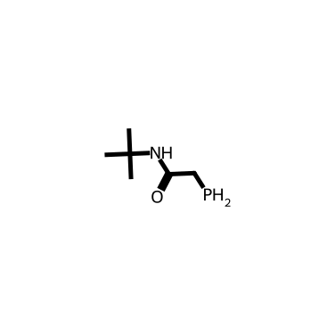 CC(C)(C)NC(=O)CP